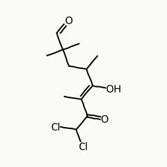 C/C(C(=O)C(Cl)Cl)=C(/O)C(C)CC(C)(C)C=O